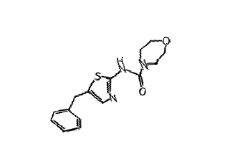 O=C(Nc1ncc(Cc2ccccc2)s1)N1CCOCC1